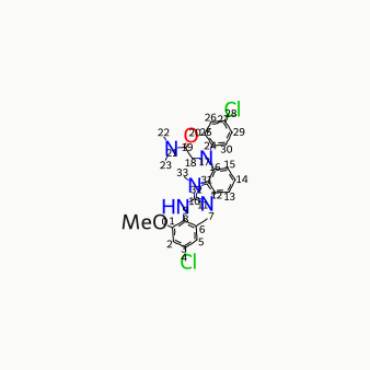 COc1cc(Cl)cc(C)c1Nc1nc2cccc(N(CC(=O)N(C)C)c3ccc(Cl)cc3)c2n1C